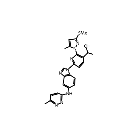 CSc1cc(C)n(-c2nc(-n3cnc4cc(Nc5ccc(C)nn5)ccc43)ccc2C(C)O)n1